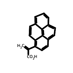 C=C(C(=O)O)c1ccc2ccc3cccc4ccc1c2c34